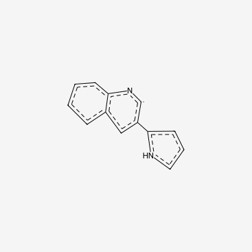 [c]1nc2ccccc2cc1-c1ccc[nH]1